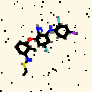 CCSNc1cccc(Oc2cc(F)cc(Nc3ccc(I)cc3F)c2N)c1C